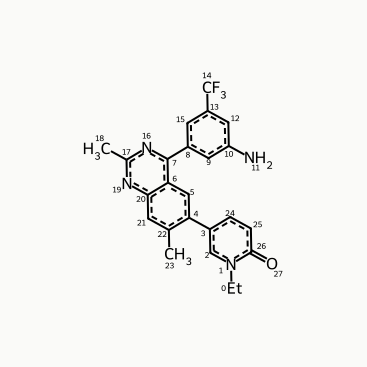 CCn1cc(-c2cc3c(-c4cc(N)cc(C(F)(F)F)c4)nc(C)nc3cc2C)ccc1=O